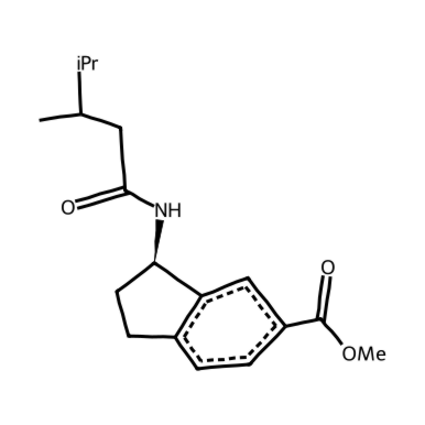 COC(=O)c1ccc2c(c1)[C@H](NC(=O)CC(C)C(C)C)CC2